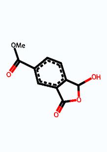 COC(=O)c1ccc2c(c1)C(=O)OC2O